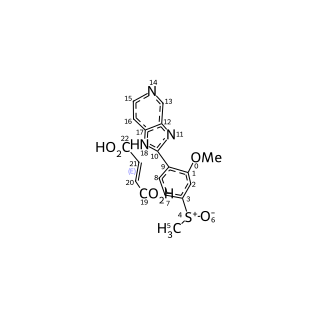 COc1cc([S+](C)[O-])ccc1-c1nc2cnccc2[nH]1.O=C(O)/C=C/C(=O)O